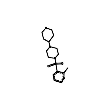 Cc1ncccc1S(=O)(=O)N1CCN(C2CCOCC2)CC1